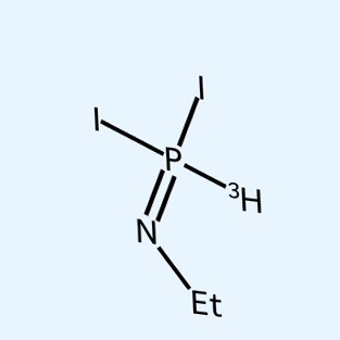 [3H]P(I)(I)=NCC